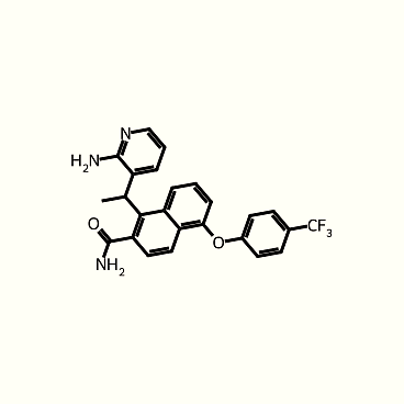 CC(c1cccnc1N)c1c(C(N)=O)ccc2c(Oc3ccc(C(F)(F)F)cc3)cccc12